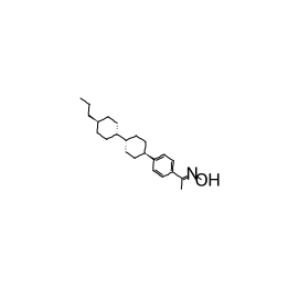 CCC[C@H]1CC[C@H]([C@H]2CC[C@H](c3ccc(C(C)=NO)cc3)CC2)CC1